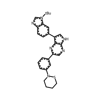 CC(C)(C)n1cnc2ccc(-c3c[nH]c4ncc(-c5cccc(N6CCCCS6)c5)nc34)cc21